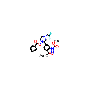 COC(=O)c1ccc(C2CN(CC(F)F)CCN2OC(=O)c2ccccc2)cc1NC(=O)OC(C)(C)C